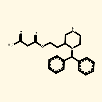 CC(=O)CC(=O)OCCC1CNCCN1C(c1ccccc1)c1ccccc1